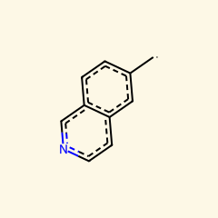 [CH2]c1ccc2cnccc2c1